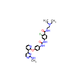 CCN(CC)CCNC(=O)c1ccc(NC(=O)Nc2ccc(Oc3ncccc3-c3ccnc(NC)n3)cc2)cc1F